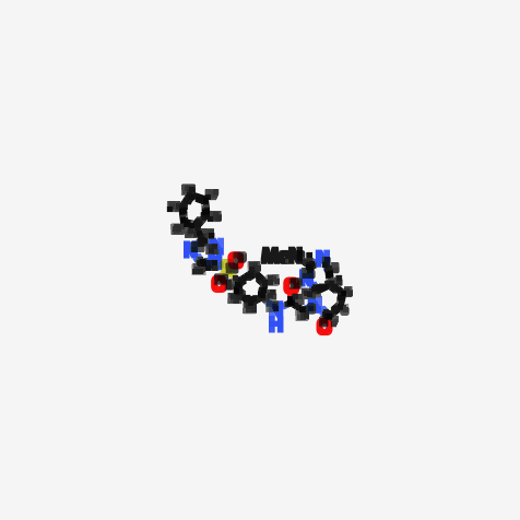 CNc1ncc2ccc(=O)n(CC(=O)Nc3ccc(S(=O)(=O)n4cnc(-c5ccccc5)n4)cc3)c2n1